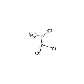 C[C](Cl)C(Cl)Cl